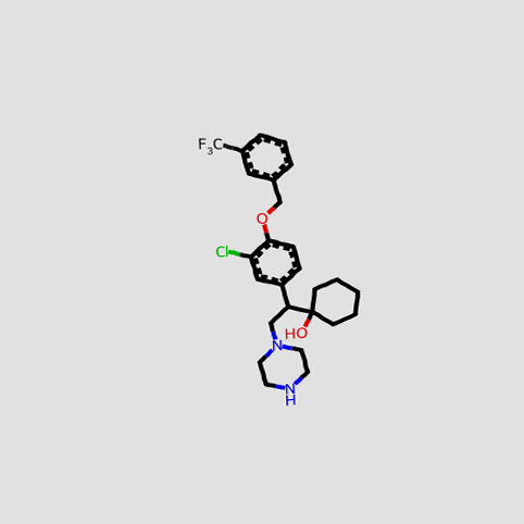 OC1(C(CN2CCNCC2)c2ccc(OCc3cccc(C(F)(F)F)c3)c(Cl)c2)CCCCC1